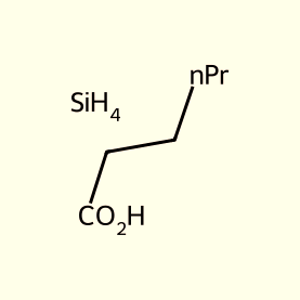 CCCCCC(=O)O.[SiH4]